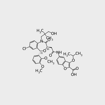 COc1cccc([C@H]2O[C@H](CC(=O)Nc3ccc4oc(C(=O)O)c(OC(C)C)c4c3)C(=O)N(CC(C)(C)CO)c3ccc(Cl)cc32)c1OC